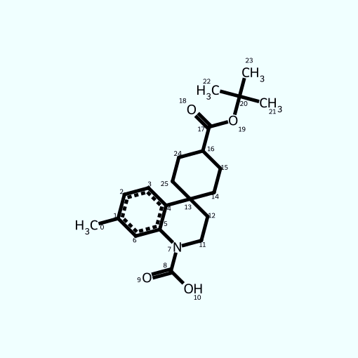 Cc1ccc2c(c1)N(C(=O)O)CCC21CCC(C(=O)OC(C)(C)C)CC1